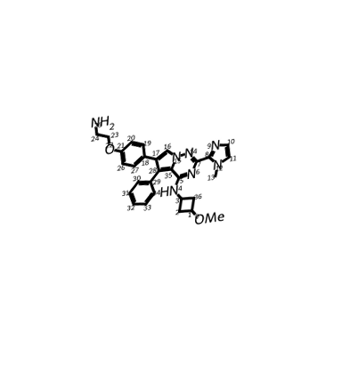 COC1CC(Nc2nc(-c3nccn3C)nn3cc(-c4ccc(OCCN)cc4)c(-c4ccccc4)c23)C1